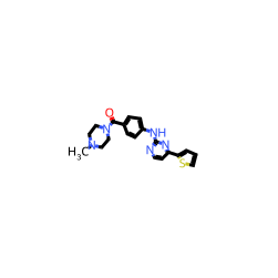 CN1CCN(C(=O)c2ccc(Nc3nccc(-c4cccs4)n3)cc2)CC1